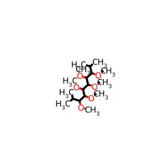 COC(C(C)C)C(OC)C(OC)C(OC)C(OC)C(OC)C(C)C